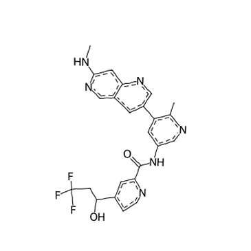 CNc1cc2ncc(-c3cc(NC(=O)c4cc(C(O)CC(F)(F)F)ccn4)cnc3C)cc2cn1